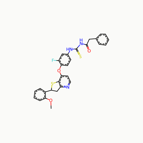 COc1ccccc1C1Cc2nccc(Oc3ccc(NC(=S)NC(=O)Cc4ccccc4)cc3F)c2S1